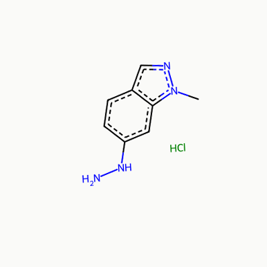 Cl.Cn1ncc2ccc(NN)cc21